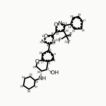 O[C@H]1c2ccc(-c3noc(-c4onc(-c5ccccc5)c4C(F)(F)F)n3)cc2OC[C@H]1NC1CCCCC1